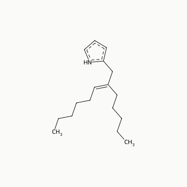 CCCCCC=C(CCCCC)Cc1ccc[nH]1